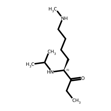 CCC(=O)[C@H](CCCCNC)NC(C)C